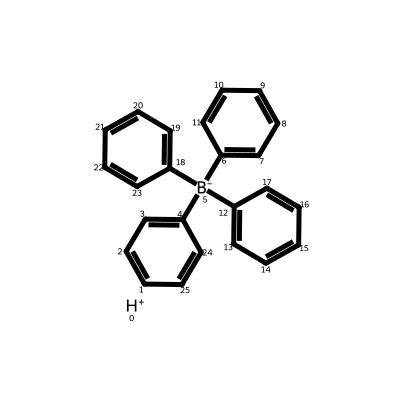 [H+].c1ccc([B-](c2ccccc2)(c2ccccc2)c2ccccc2)cc1